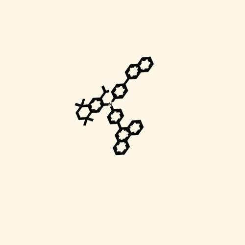 CC(C)c1cc2c(cc1N(c1ccc(-c3ccc4ccccc4c3)cc1)c1ccc(-c3cc4ccccc4c4ccccc34)cc1)C(C)(C)CCC2(C)C